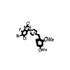 COc1ccc(CN2CCP(c3nc(Cl)nc4c(F)c(Br)c(Cl)cc34)CC2)c(OC)c1